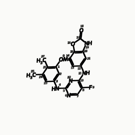 COc1cc(Nc2ncc(F)c(Nc3ccc4oc(=O)[nH]c4c3)n2)cc(C)c1C